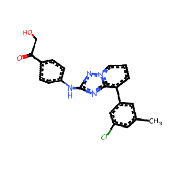 Cc1cc(Cl)cc(-c2cccn3nc(Nc4ccc(C(=O)CO)cc4)nc23)c1